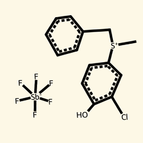 C[S+](Cc1ccccc1)c1ccc(O)c(Cl)c1.[F][Sb-]([F])([F])([F])([F])[F]